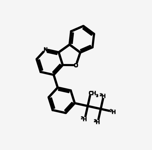 [2H]C([2H])([2H])C([2H])(C)c1cccc(-c2ccnc3c2oc2ccccc23)c1